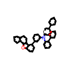 c1ccc(-c2ccc(N(c3cccc(-c4cccc5oc6c7ccccc7ccc6c45)c3)c3ccccc3-c3ccccc3)cc2)cc1